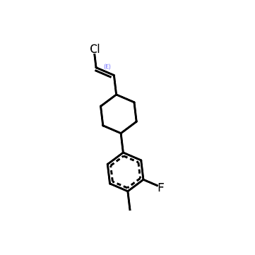 Cc1ccc(C2CCC(/C=C/Cl)CC2)cc1F